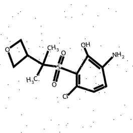 CC(C)(C1COC1)S(=O)(=O)c1c(Cl)ccc(N)c1O